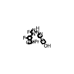 CC(C)N1CCOc2c(F)cc(-c3nc(Nc4ccc(N5CCC(O)CC5)cn4)ncc3F)cc21